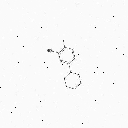 Cc1c[c]c(C2CCCCC2)cc1O